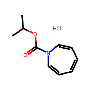 CC(C)OC(=O)N1C=CC=CC=C1.Cl